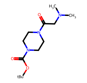 CN(C)CC(=O)N1CCN(C(=O)OC(C)(C)C)CC1